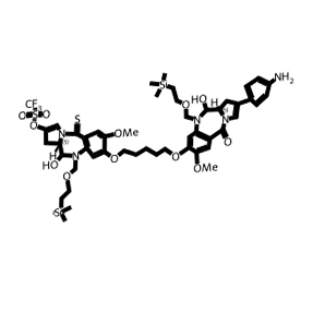 COc1cc2c(cc1OCCCCCOc1cc3c(cc1OC)C(=S)N1C=C(OS(=O)(=O)C(F)(F)F)C[C@H]1C(O)N3COCC[Si](C)(C)C)N(COCC[Si](C)(C)C)C(O)[C@@H]1CC(c3ccc(N)cc3)=CN1C2=O